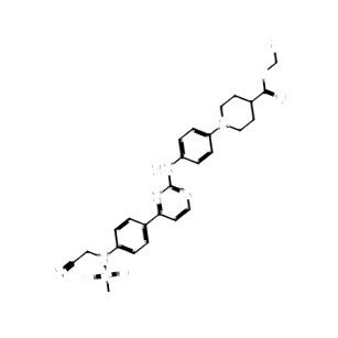 CS(=O)(=O)N(CC#N)c1ccc(-c2ccnc(Nc3ccc(N4CCC(C(=O)SCF)CC4)cc3)n2)cc1